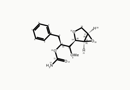 COC([C@H](Cc1ccccc1)OC(N)=O)[C@H]1OC[C@H]2O[C@@H]12